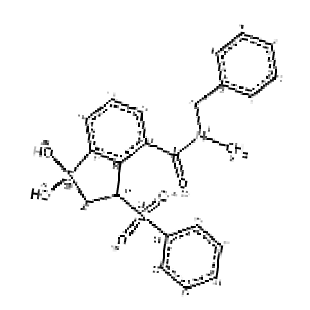 CN(Cc1ccccc1)C(=O)c1cccc2c1C(S(=O)(=O)c1ccccc1)CS2(O)O